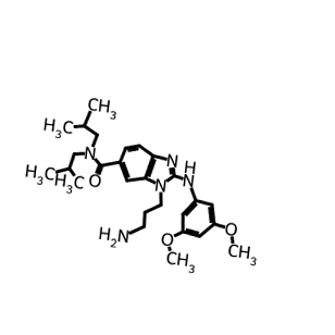 COc1cc(Nc2nc3ccc(C(=O)N(CC(C)C)CC(C)C)cc3n2CCCN)cc(OC)c1